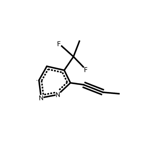 CC#Cc1nn[c]cc1C(C)(F)F